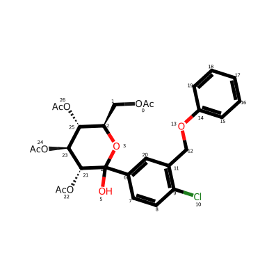 CC(=O)OC[C@H]1OC(O)(c2ccc(Cl)c(COc3ccccc3)c2)[C@H](OC(C)=O)[C@@H](OC(C)=O)[C@@H]1OC(C)=O